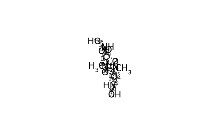 CN1C(=O)C2=C(c3ccc(S(=O)(=O)NCCO)cc3)N(C)C(=O)C2=C1c1ccc(CNCCO)cc1